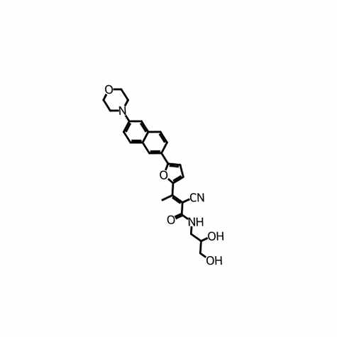 C/C(=C(/C#N)C(=O)NCC(O)CO)c1ccc(-c2ccc3cc(N4CCOCC4)ccc3c2)o1